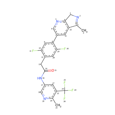 CC1=NCc2ncc(-c3cc(F)c(CC(=O)Nc4cnc(C)c(C(F)(F)F)c4)cc3F)cc21